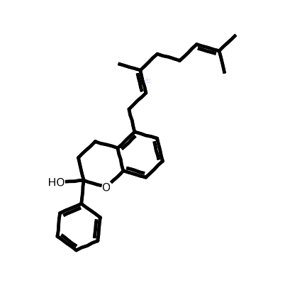 CC(C)=CCC/C(C)=C/Cc1cccc2c1CCC(O)(c1ccccc1)O2